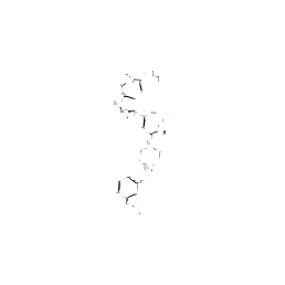 CC(C)Oc1cc2c(C3=CC(N4CCN(Cc5cccc(C#N)c5)CC4)=NCC3)n[nH]c2cn1